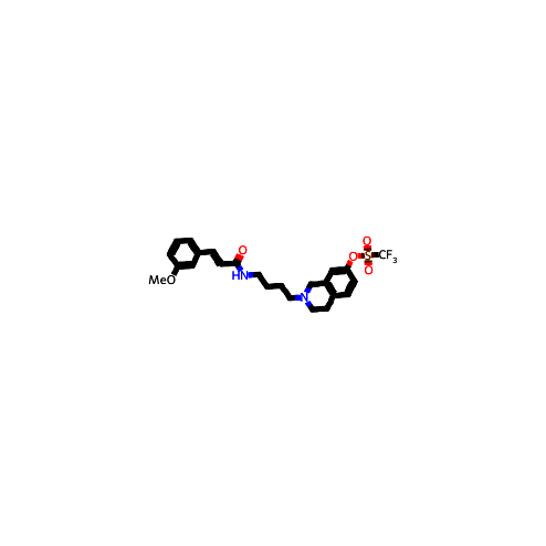 COc1cccc(/C=C/C(=O)NCCCCN2CCc3ccc(OS(=O)(=O)C(F)(F)F)cc3C2)c1